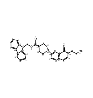 O=C(OCC1c2ccccc2-c2ccccc21)N1CCN(c2ccc3ccn(CCO)c(=O)c3c2)CC1